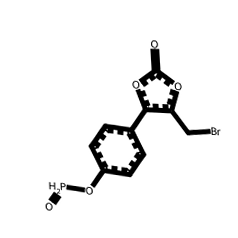 O=[PH2]Oc1ccc(-c2oc(=O)oc2CBr)cc1